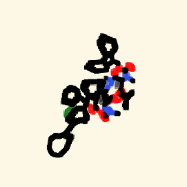 CC(C)C[C@@H](C(=O)N(C)[C@@H](CC(=O)OC(c1ccccc1)(c1ccc(C2CCCCCCC2)cc1)c1ccccc1Cl)C(=O)N(C)C)N(C)C(=O)OCC1c2ccccc2-c2ccccc21